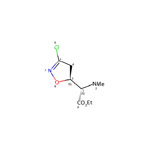 CCOC(=O)[C@@H](NC)[C@@H]1CC(Cl)=NO1